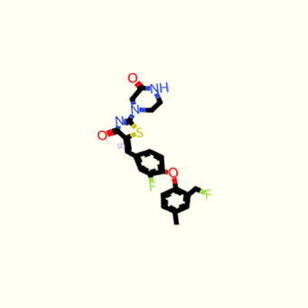 Cc1ccc(Oc2ccc(/C=C3\SC(N4CCNC(=O)C4)=NC3=O)cc2F)c(CF)c1